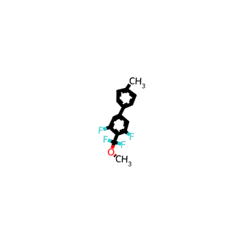 COC(F)(F)c1c(F)cc(-c2ccc(C)cc2)cc1F